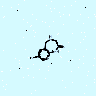 O=C1CPCc2cc(Br)cnc2N1